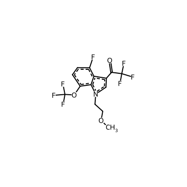 COCCn1cc(C(=O)C(F)(F)F)c2c(F)ccc(OC(F)(F)F)c21